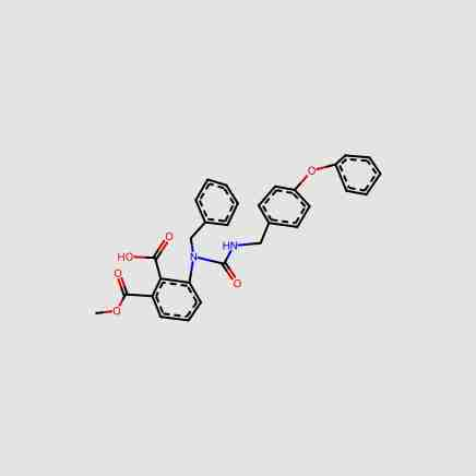 COC(=O)c1cccc(N(Cc2ccccc2)C(=O)NCc2ccc(Oc3ccccc3)cc2)c1C(=O)O